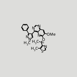 COc1cc2ncnc(-c3cn(C)nc3-c3ccccc3)c2nc1O[C@H](C)c1ncsc1C